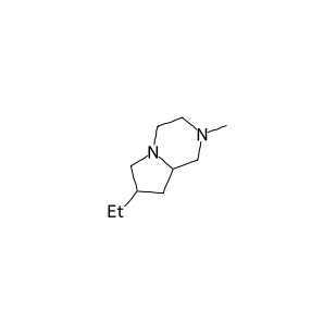 CCC1CC2CN(C)CCN2C1